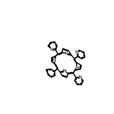 C1=CC2=C(c3ccccn3)C3=NC(=C(c4ccccn4)C4=NC(=C(c5ccccn5)C5=NC(=C(c6ccccc6)C1=N2)C=C5)C=C4)C=C3